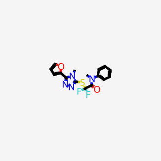 CN(C(=O)C(F)(F)Sc1nnc(-c2ccco2)n1C)c1ccccc1